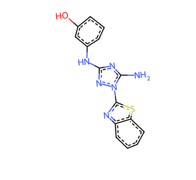 Nc1nc(Nc2cccc(O)c2)nn1-c1nc2ccccc2s1